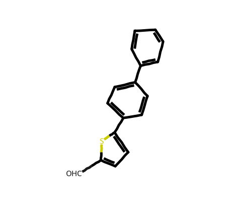 O=Cc1ccc(-c2ccc(-c3ccccc3)cc2)s1